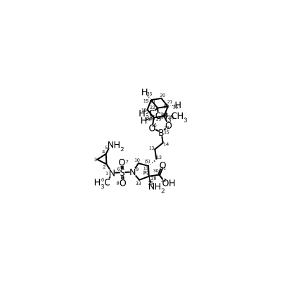 CN(C1CC1N)S(=O)(=O)N1C[C@H](CCCB2O[C@H]3C[C@H]4C[C@H](C4(C)C)[C@@]3(C)O2)[C@](N)(C(=O)O)C1